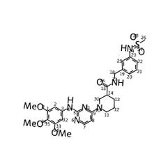 COc1cc(Nc2nccc(N3CCCC(C(=O)NCc4cccc(NS(C)(=O)=O)c4)C3)n2)cc(OC)c1OC